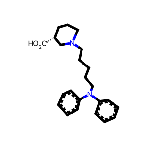 O=C(O)[C@@H]1CCCN(CCCCCN(c2ccccc2)c2ccccc2)C1